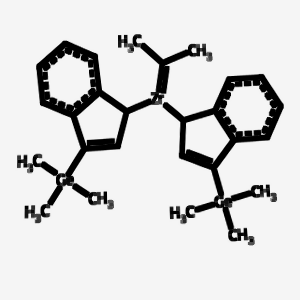 C[C](C)=[Zr]([CH]1C=[C]([Ge]([CH3])([CH3])[CH3])c2ccccc21)[CH]1C=[C]([Ge]([CH3])([CH3])[CH3])c2ccccc21